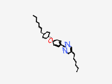 CCCCCCC[C@H]1CC[C@H](COc2ccc(-c3ncc(CCCCCC)cn3)cc2)CC1